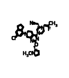 CC(F)=CN1CCN(c2nc(OC[C@@H]3CCCN3C)nc3c2CCN(c2cc(Cl)cc4c2CCC4)C3)C[C@@H]1CC#N